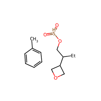 CCC(CO[SH](=O)=O)C1COC1.Cc1ccccc1